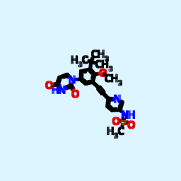 COc1c(C#Cc2ccc(NS(C)(=O)=O)cn2)cc(-n2ccc(=O)[nH]c2=O)cc1C(C)(C)C